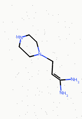 NC(N)=CCN1CCNCC1